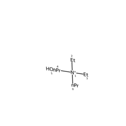 CCC[N+](CC)(CC)CCC.[OH-]